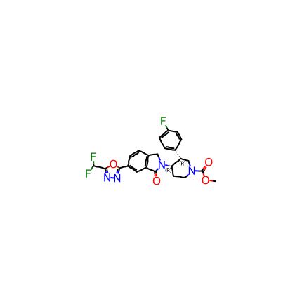 COC(=O)N1CC[C@@H](N2Cc3ccc(-c4nnc(C(F)F)o4)cc3C2=O)[C@H](c2ccc(F)cc2)C1